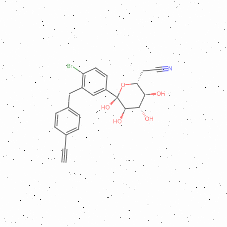 C#Cc1ccc(Cc2cc([C@]3(O)O[C@H](CC#N)[C@@H](O)[C@H](O)[C@H]3O)ccc2Br)cc1